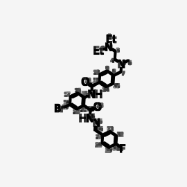 CCN(CC)CCN(C)Cc1ccc(C(=O)Nc2ccc(Br)cc2C(=O)NN=Cc2ccc(F)cc2)cc1